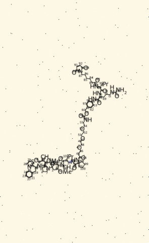 CC[C@H](C)[C@@H]([C@@H](CC(=O)N1CCC[C@H]1[C@H](OC)[C@@H](C)C(=O)N[C@@H](Cc1ccccc1)c1nccs1)OC)N(C)C(=O)C(/C=N/C(=O)C1(NC(=O)CCOCCOCCOCCNC(=O)OCc2ccc(NC(=O)[C@H](CCCNC(N)=O)NC(=O)[C@@H](NC(=O)CCCCCN3C(=O)C=CC3=O)C(C)C)cc2)CCCC1)C(C)C